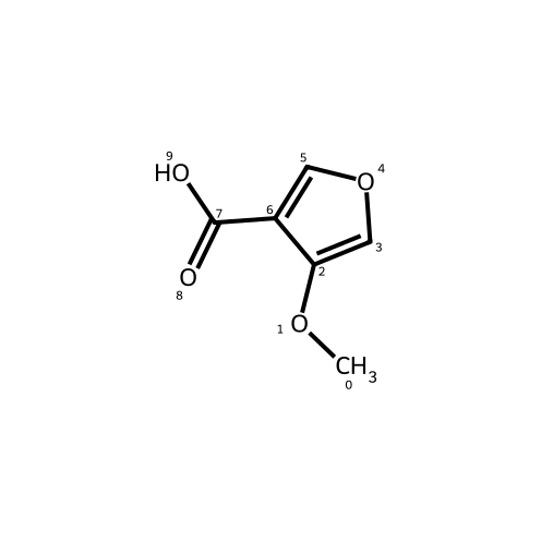 COc1cocc1C(=O)O